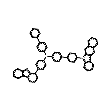 c1ccc(-c2ccc(N(c3ccc(-c4ccc(-n5c6ccccc6c6cc7ccccc7cc65)cc4)cc3)c3ccc(-c4cccc5c4oc4ccccc45)cc3)cc2)cc1